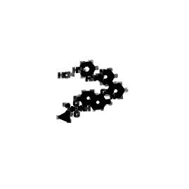 Cc1ccc2c(NS(=O)(=O)N(C)C3CC3)c(F)ccc2c1Oc1ncccc1-c1ccnc(N[C@H]2CCCNC2)n1.Cl